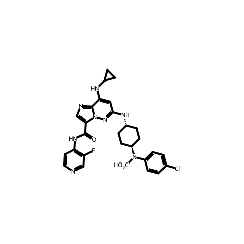 O=C(Nc1ccncc1F)c1cnc2c(NC3CC3)cc(N[C@H]3CC[C@H](N(C(=O)O)c4ccc(Cl)cc4)CC3)nn12